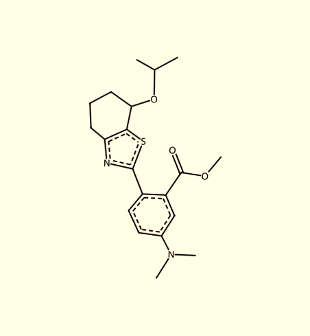 COC(=O)c1cc(N(C)C)ccc1-c1nc2c(s1)C(OC(C)C)CCC2